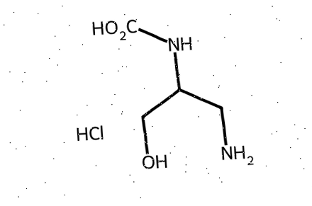 Cl.NCC(CO)NC(=O)O